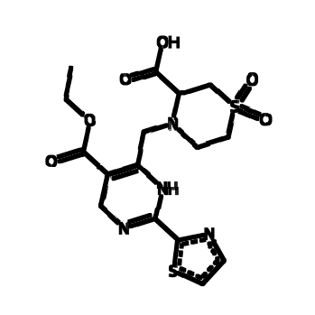 CCOC(=O)C1=C(CN2CCS(=O)(=O)CC2C(=O)O)NC(c2nccs2)=NC1